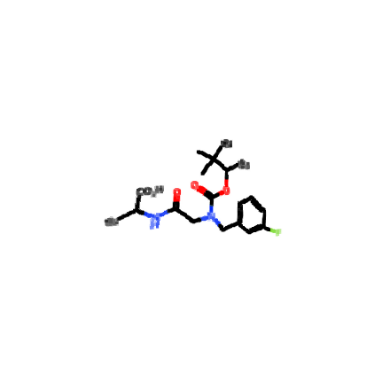 CC(C)(C)C(NC(=O)CN(Cc1cccc(F)c1)C(=O)OC(C(C)(C)C)C(C)(C)C(C)(C)C)C(=O)O